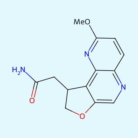 COc1ccc2ncc3c(c2n1)C(CC(N)=O)CO3